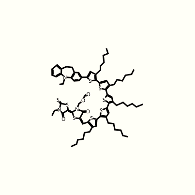 CCCCCCc1cc(-c2sc(-c3sc(-c4sc(-c5sc(-c6ccc7c(c6)CCc6ccccc6N7CC)cc5CCCCCC)cc4CCCCCC)cc3CCCCCC)cc2CCCCCC)sc1/C=c1/s/c(=C2/SC(=S)N(CC)C2=O)n(COC=O)c1=O